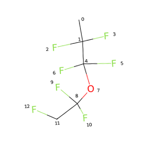 CC(F)(F)C(F)(F)OC(F)(F)CF